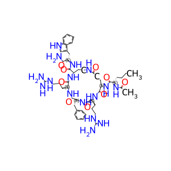 CCCC[C@H](NC(C)=O)C(=O)N[C@H]1CCC(=O)NCCC(C(=O)N[C@@H](Cc2c[nH]c3ccccc23)C(N)=O)NC(=O)[C@H](CCCNC(=N)N)NC(=O)[C@@H](Cc2ccccc2)NC(=O)[C@H](CCCNC(=N)N)NC1=O